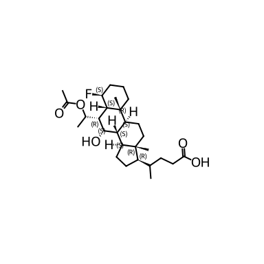 CC(=O)OC(C)[C@H]1[C@@H](O)[C@@H]2[C@H](CC[C@]3(C)[C@@H](C(C)CCC(=O)O)CC[C@@H]23)[C@@]2(C)CCC[C@H](F)[C@@H]12